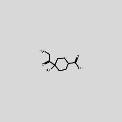 CCC(=O)C1(C)CCC(C(=O)O)CC1